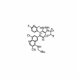 Cc1nc(F)ccc1[C@H]1C2=C(ONN1c1cc(Cl)c3ncc(C#N)c(NCC(C)(C)C)c3c1)N(C1(C(F)F)CC1)NN2